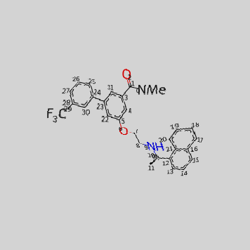 CNC(=O)c1cc(OCCN[C@H](C)c2cccc3ccccc23)cc(-c2cccc(C(F)(F)F)c2)c1